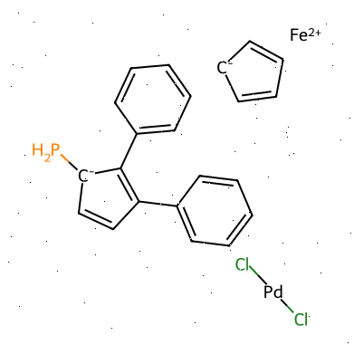 P[c-]1ccc(-c2ccccc2)c1-c1ccccc1.[Cl][Pd][Cl].[Fe+2].c1cc[cH-]c1